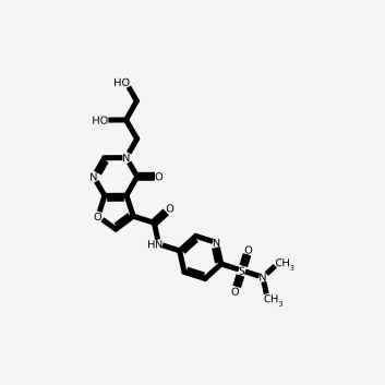 CN(C)S(=O)(=O)c1ccc(NC(=O)c2coc3ncn(CC(O)CO)c(=O)c23)cn1